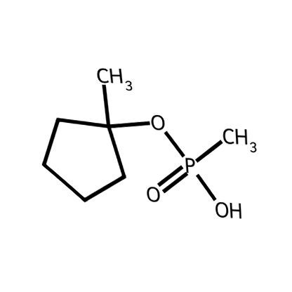 CC1(OP(C)(=O)O)CCCC1